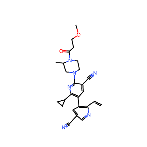 C=Cc1ncc(C#N)cc1-c1cc(C#N)c(N2CCN(C(=O)CCOC)C(C)C2)nc1C1CC1